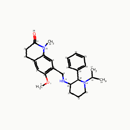 COc1cc2c(cc1CNC1CCCN(C(C)C)C1c1ccccc1)N(C)C(=O)CC2